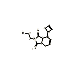 O=C1C2CC=CC(C3C=CC3)C2C(=O)N1CCO